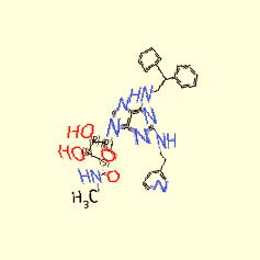 CCNC(=O)[C@H]1O[C@@H](n2cnc3c(NCC(c4ccccc4)c4ccccc4)nc(NCCc4cccnc4)nc32)[C@H](O)[C@@H]1O